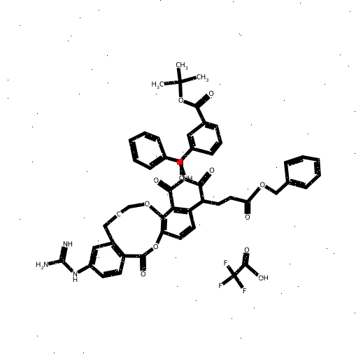 CC(C)(C)OC(=O)c1cccc(CNC(=O)c2c(C(CCC(=O)OCc3ccccc3)C(=O)OCc3ccccc3)ccc3c2OCCCc2cc(NC(=N)N)ccc2C(=O)O3)c1.O=C(O)C(F)(F)F